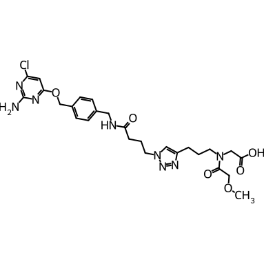 COCC(=O)N(CCCc1cn(CCCC(=O)NCc2ccc(COc3cc(Cl)nc(N)n3)cc2)nn1)CC(=O)O